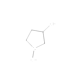 CC1CCN(O)C1